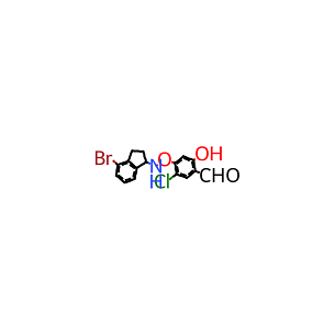 O=Cc1cc(Cl)c(ONC2CCc3c(Br)cccc32)cc1O